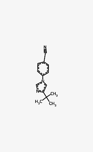 CC(C)(C)c1cn(-c2ccc(C#N)cc2)cn1